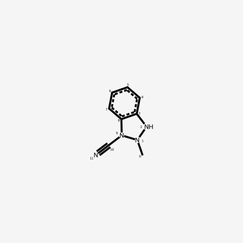 CN1Nc2ccccc2N1C#N